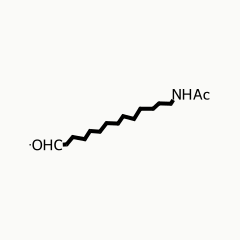 CC(=O)NCCCCCCCCCCCCC[C]=O